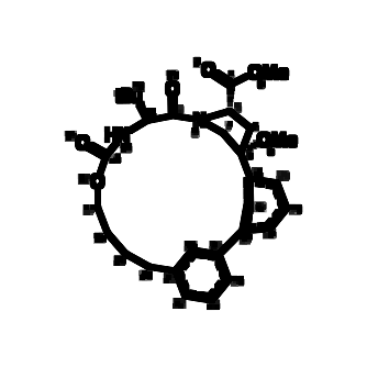 COC(=O)[C@@H]1C[C@]2(OC)CN1C(=O)[C@H](C(C)(C)C)NC(=O)OCCCCc1cccc(c1)-c1cccc2c1